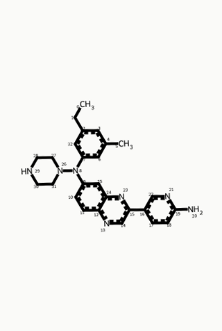 CCc1cc(C)cc(N(c2ccc3ncc(-c4ccc(N)nc4)nc3c2)N2CCNCC2)c1